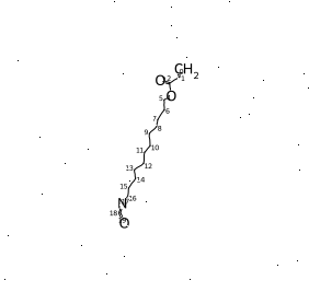 C=CC(=O)OCCCCCCCCCCCCN=C=O